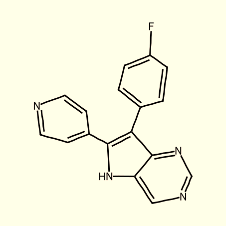 Fc1ccc(-c2c(-c3ccncc3)[nH]c3cncnc23)cc1